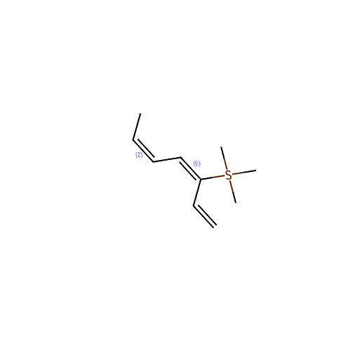 C=C/C(=C\C=C/C)S(C)(C)C